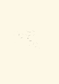 CCC(C)c1cc(C(C)(C)C)cc(-n2nc3ccccc3n2)c1OC(=O)C=Cc1ccc(N(CC)CC)cc1O